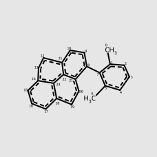 Cc1cccc(C)c1-c1ccc2ccc3cccc4ccc1c2c34